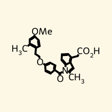 COc1ccc(CCOc2ccc(C(=O)n3c(C)cc4c(CC(=O)O)cccc43)cc2)c(C)c1